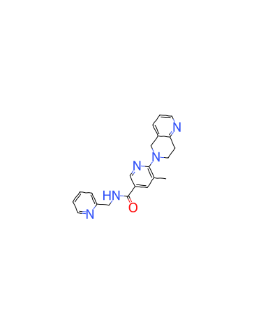 Cc1cc(C(=O)NCc2ccccn2)cnc1N1CCc2ncccc2C1